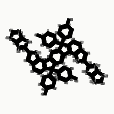 Cc1ccc(C2(c3ccc(C)cc3)c3cc4c(cc3-c3c2ccc2cc(-c5nc6scnc6s5)sc32)C(c2ccc(C)cc2)(c2ccc(C)cc2)c2ccc3cc(-c5nc6scnc6s5)sc3c2-4)cc1